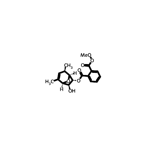 COOC(=O)c1ccccc1C(=O)O[C@@H]1[C@@H](O)[C@@H]2O[C@H]1[C@H](C)C=C2C